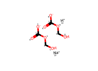 O=C([O-])OCO.O=C([O-])OCO.[H+].[Na+]